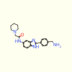 NCc1ccc(-c2nc3cc(NC(=O)CN4CCCCC4)ccc3[nH]2)cc1